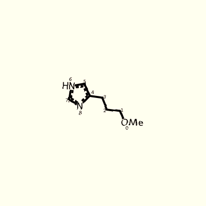 COCCCc1c[nH][c]n1